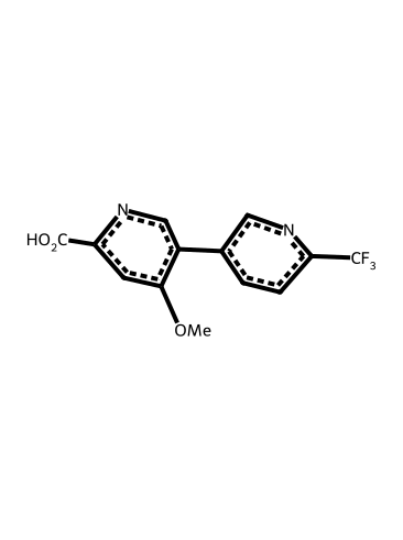 COc1cc(C(=O)O)ncc1-c1ccc(C(F)(F)F)nc1